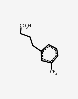 O=C(O)CCCc1cccc(C(F)(F)F)c1